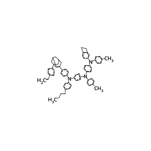 C=Cc1ccc(C23CC4CC(C2)CC(c2ccc(N(c5ccc(CCCC)cc5)c5ccc(N(c6ccc(C)cc6)c6ccc(N(c7ccc(C)cc7)c7ccc8c(c7)CC8)cc6)cc5)cc2)(C4)C3)cc1